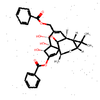 C[C@@H]1C[C@@H]2[C@H]([C@@H]3C=C(COC(=O)c4ccccc4)[C@@H](O)[C@]4(O)[C@@H](O)C(OC(=O)c5ccccc5)=CC14C3O)C2(C)C